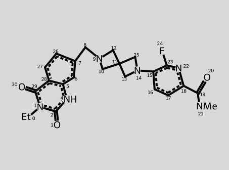 CCn1c(=O)[nH]c2cc(CN3CC4(C3)CN(c3ccc(C(=O)NC)nc3F)C4)ccc2c1=O